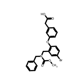 COC(=O)N(Cc1ccccc1)Cc1cc(Br)ccc1Oc1cccc(CC(=O)O)c1